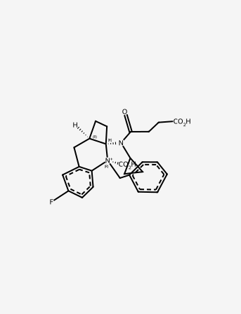 O=C(O)CCC(=O)N(C1CC1)[C@@]12CC[C@@H]1Cc1cc(F)ccc1[N@@+]2(Cc1ccccc1)C(=O)O